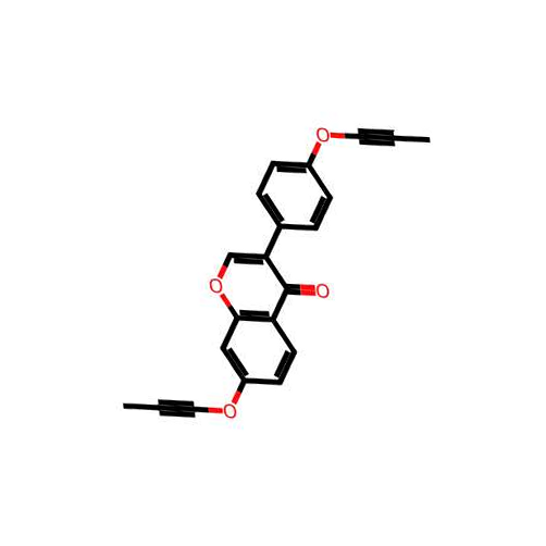 CC#COc1ccc(-c2coc3cc(OC#CC)ccc3c2=O)cc1